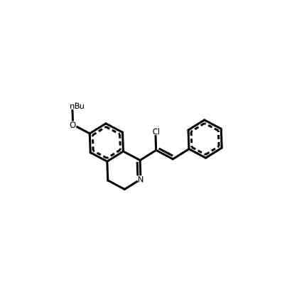 CCCCOc1ccc2c(c1)CCN=C2/C(Cl)=C/c1ccccc1